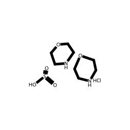 C1COCCN1.C1COCCN1.Cl.O=[SH](=O)O